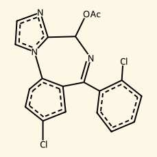 CC(=O)OC1N=C(c2ccccc2Cl)c2cc(Cl)ccc2-n2ccnc21